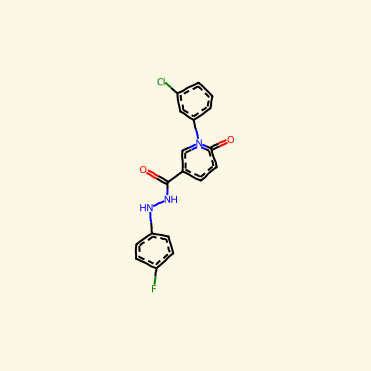 O=C(NNc1ccc(F)cc1)c1ccc(=O)n(-c2cccc(Cl)c2)c1